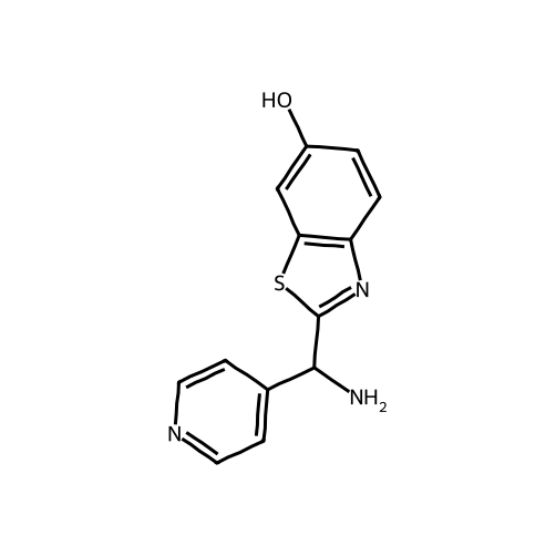 NC(c1ccncc1)c1nc2ccc(O)cc2s1